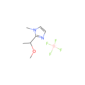 COC(C)c1nccn1C.F[B-](F)(F)F